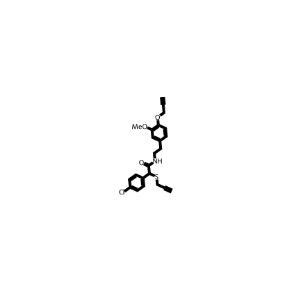 C#CCOc1ccc(CCNC(=O)C(SCC#C)c2ccc(Cl)cc2)cc1OC